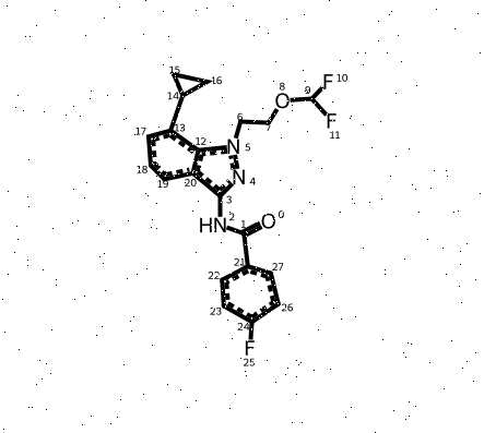 O=C(Nc1nn(CCOC(F)F)c2c(C3CC3)cccc12)c1ccc(F)cc1